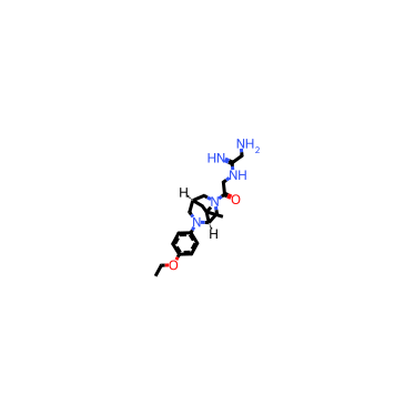 CCOc1ccc(N2C[C@H]3CN(C(=O)CNC(=N)CN)C[C@@H]2C(C)(C)C3)cc1